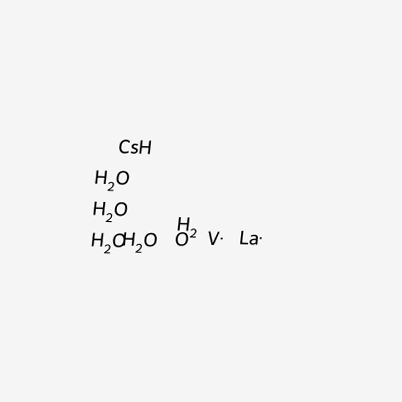 O.O.O.O.O.[CsH].[La].[V]